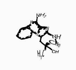 CCCNc1nc2c(N)nc3ccccc3n2c1CC(C)(C)O